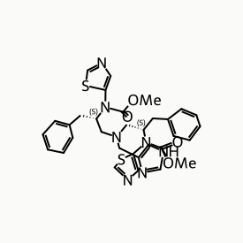 COC(=O)N(c1cncs1)[C@@H](Cc1ccccc1)CN(Cc1c[nH]cn1)C[C@H](Cc1ccccc1)N(C(=O)OC)c1cncs1